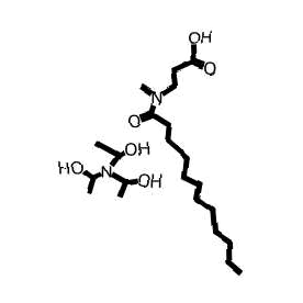 CC(O)N(C(C)O)C(C)O.CCCCCCCCCCCC(=O)N(C)CCC(=O)O